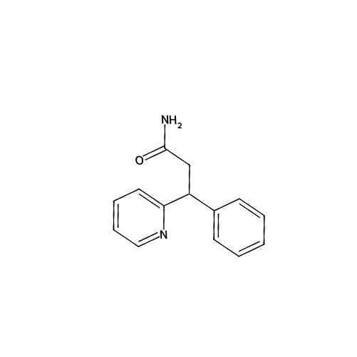 NC(=O)CC(c1ccccc1)c1ccccn1